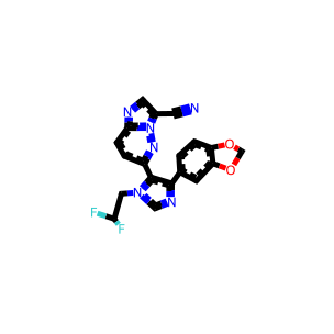 N#Cc1cnc2ccc(-c3c(-c4ccc5c(c4)OCO5)ncn3CC(F)F)nn12